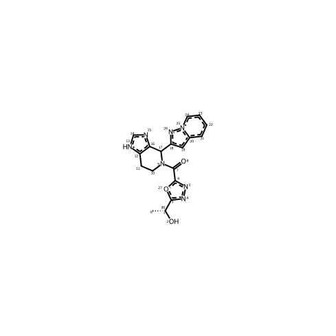 C[C@@H](O)c1nnc(C(=O)N2CCc3[nH]cnc3C2c2cc3ccccn3n2)o1